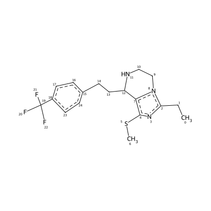 CCc1nc(SC)c2n1CCNC2CCc1ccc(C(F)(F)F)cc1